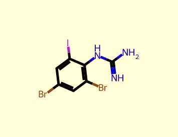 N=C(N)Nc1c(Br)cc(Br)cc1I